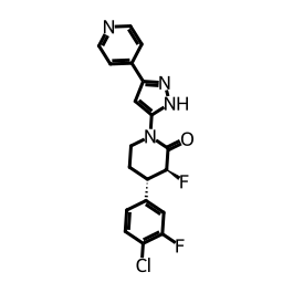 O=C1[C@@H](F)[C@H](c2ccc(Cl)c(F)c2)CCN1c1cc(-c2ccncc2)n[nH]1